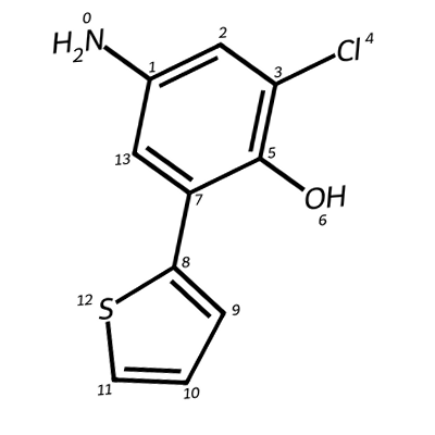 Nc1cc(Cl)c(O)c(-c2cccs2)c1